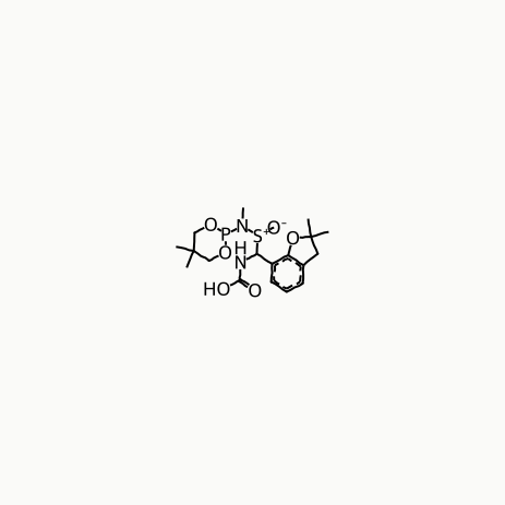 CN(P1OCC(C)(C)CO1)[S+]([O-])C(NC(=O)O)c1cccc2c1OC(C)(C)C2